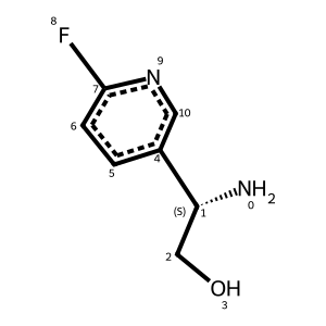 N[C@H](CO)c1ccc(F)nc1